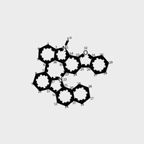 In1c2cccc3c4cccc5c6ccc7ccccc7c6n(c6cc7c8ccccc8oc7c1c6c32)c45